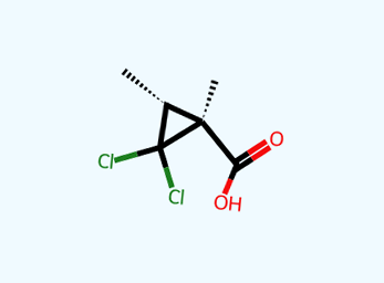 C[C@H]1C(Cl)(Cl)[C@]1(C)C(=O)O